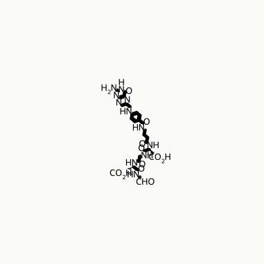 Nc1nc2ncc(CNc3ccc(C(=O)NCCCC(=O)N[C@@H](CC(=O)O)C(=O)NCC(=O)N[C@@H](CC(=O)O)C(=O)NCC=O)cc3)nc2c(=O)[nH]1